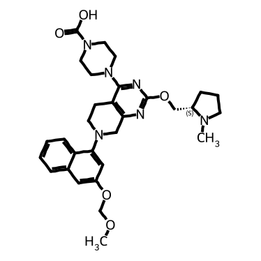 COCOc1cc(N2CCc3c(nc(OC[C@@H]4CCCN4C)nc3N3CCN(C(=O)O)CC3)C2)c2ccccc2c1